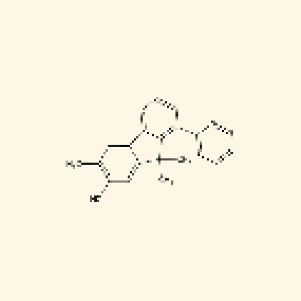 Cc1cc2c(cc1C#N)C(C)(C)c1c(-c3ccccn3)cccc1-2